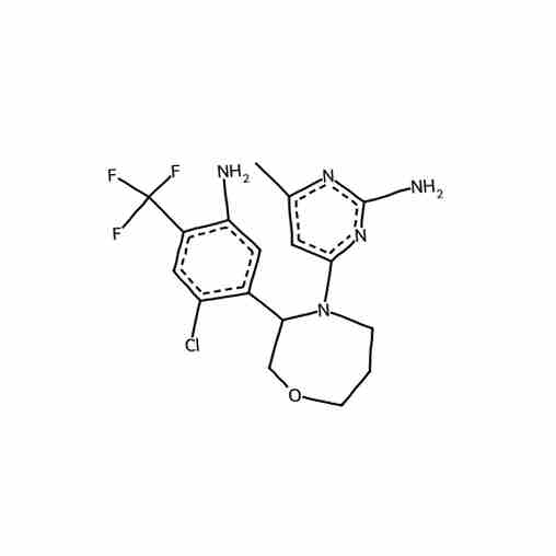 Cc1cc(N2CCCOCC2c2cc(N)c(C(F)(F)F)cc2Cl)nc(N)n1